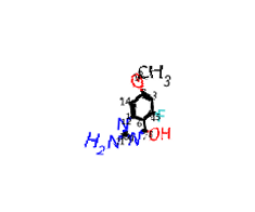 COc1cc(F)c2c(O)nc(N)nc2c1